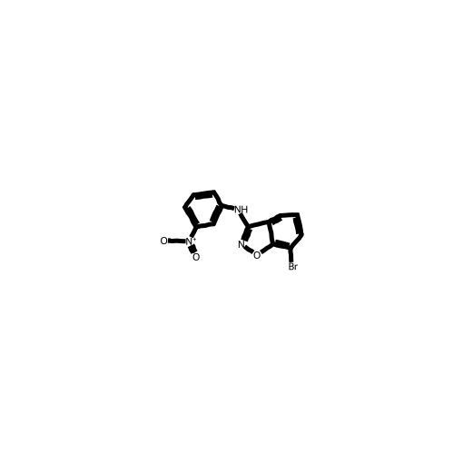 O=[N+]([O-])c1cccc(Nc2noc3c(Br)cccc23)c1